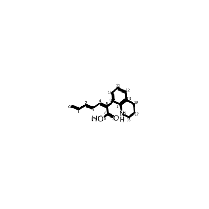 C=CC=CC=C(C(=O)O)c1cccc2c1NCCC2